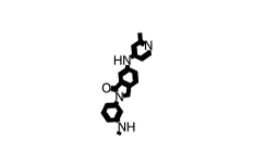 CNc1cccc(N2Cc3ccc(Nc4ccnc(C)c4)cc3C2=O)c1